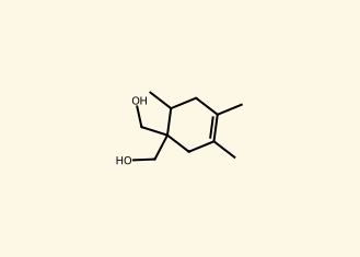 CC1=C(C)CC(CO)(CO)C(C)C1